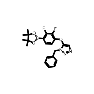 CC1(C)OB(c2ccc(Oc3cnnn3Cc3ccccc3)c(F)c2F)OC1(C)C